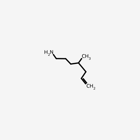 C=CCC(C)CCCN